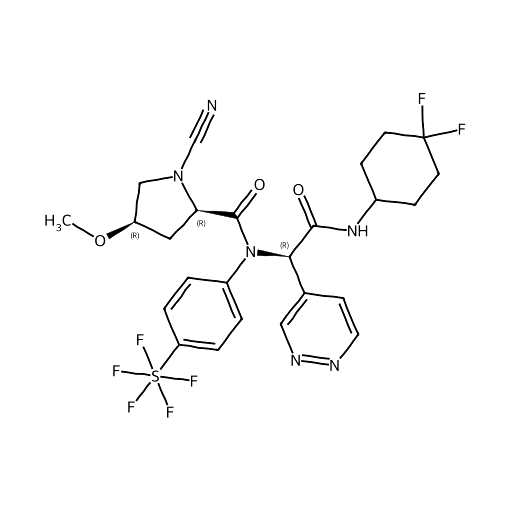 CO[C@@H]1C[C@H](C(=O)N(c2ccc(S(F)(F)(F)(F)F)cc2)[C@@H](C(=O)NC2CCC(F)(F)CC2)c2ccnnc2)N(C#N)C1